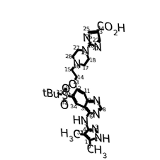 Cc1[nH]nc(Nc2ncnc3cc(OCCN4CCN(c5ncc(C(=O)O)cn5)CC4)c(S(=O)(=O)C(C)(C)C)cc23)c1C